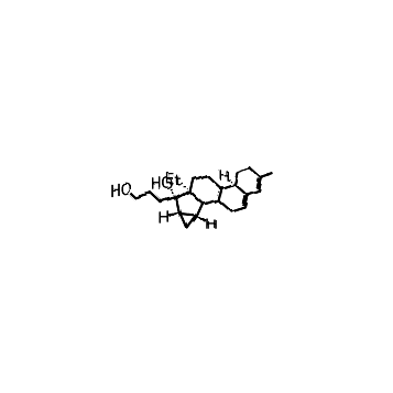 CC[C@]12CCC3C(CC=C4C=C(C)CC[C@@H]43)C1[C@@H]1C[C@@H]1[C@@]2(O)CCCO